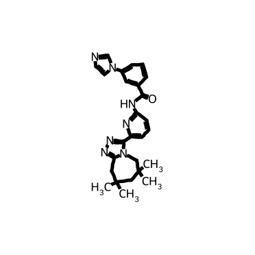 CC1(C)Cc2nnc(-c3cccc(NC(=O)c4cccc(-n5ccnc5)c4)n3)n2CC(C)(C)C1